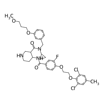 COCCCOc1cccc(CN(C(=O)C2CNCCC2NC(=O)c2ccc(OCCOc3c(Cl)cc(C)cc3Cl)c(F)c2)C2CC2)c1